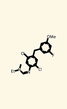 CCN(C)/C=N\c1cc(Cl)c(Cc2cc(F)cc(OC)c2)cc1Cl